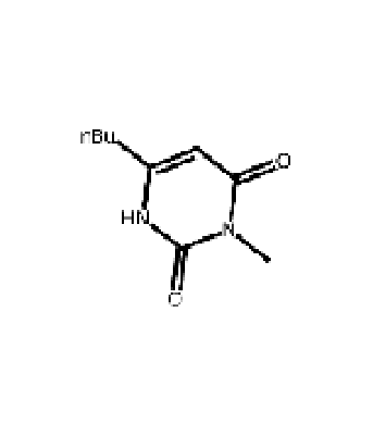 CCCCc1cc(=O)n(C)c(=O)[nH]1